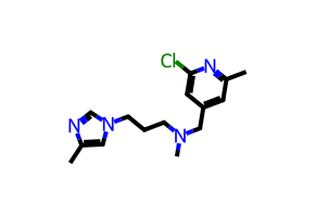 Cc1cn(CCCN(C)Cc2cc(C)nc(Cl)c2)cn1